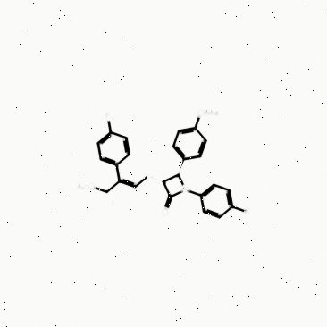 COc1ccc([C@@H]2[C@@H](CC=C(COC(C)=O)c3ccc(F)cc3)C(=O)N2c2ccc(F)cc2)cc1